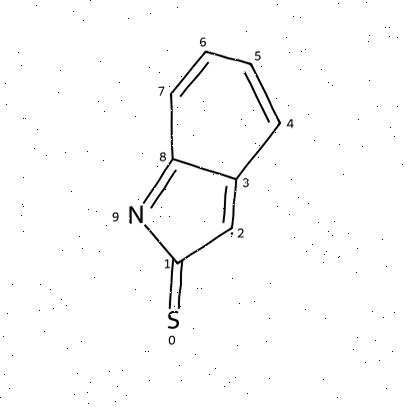 S=C1[C]=c2ccccc2=N1